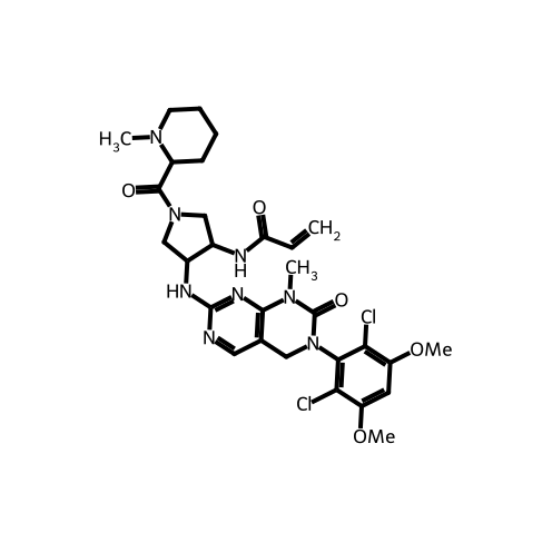 C=CC(=O)NC1CN(C(=O)C2CCCCN2C)CC1Nc1ncc2c(n1)N(C)C(=O)N(c1c(Cl)c(OC)cc(OC)c1Cl)C2